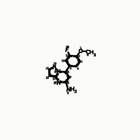 COc1ccc(-c2cc(N)nc3ccnn23)cc1F